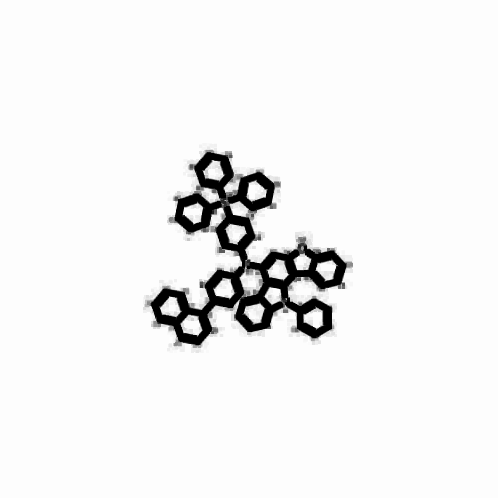 c1ccc(-n2c3ccccc3c3c(N(c4ccc(-c5cccc6ccccc56)cc4)c4ccc([Si](c5ccccc5)(c5ccccc5)c5ccccc5)cc4)cc4oc5ccccc5c4c32)cc1